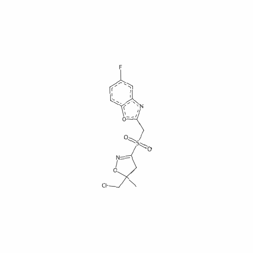 CC1(CCl)CC(S(=O)(=O)Cc2nc3cc(F)ccc3o2)=NO1